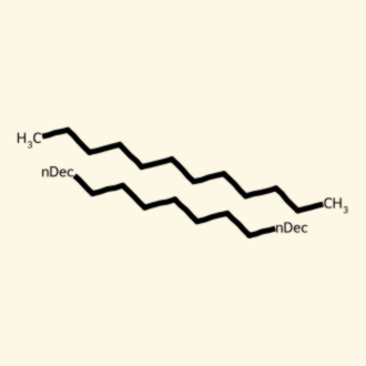 CCCCCCCCCCCC.CCCCCCCCCCCCCCCCCCCCCCCCCCC